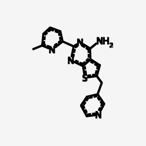 Cc1cccc(-c2nc(N)c3cc(Cc4cccnc4)sc3n2)n1